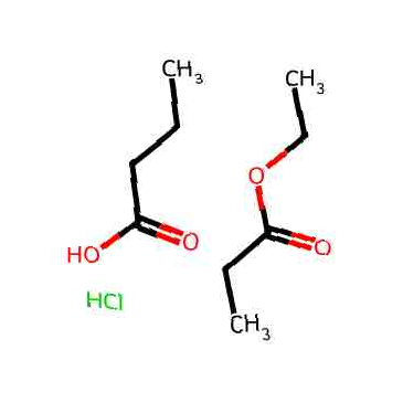 CCCC(=O)O.CCOC(=O)CC.Cl